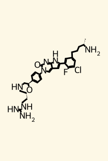 C[C@H](N)CCCc1cc(Cl)c(F)c(-c2cc3cn(-c4ccc([C@@H]5CNC[C@@H](CCNC(=N)N)O5)cc4)c(=O)nc3[nH]2)c1